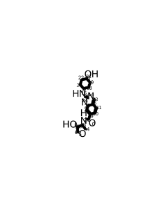 O=C(N[C@@H]1COC[C@H]1O)c1ccc2cnc(N[C@H]3CC[C@H](O)CC3)nc2c1